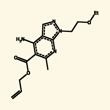 C=CCOC(=O)c1c(C)nc2c(cnn2CCOCC)c1N